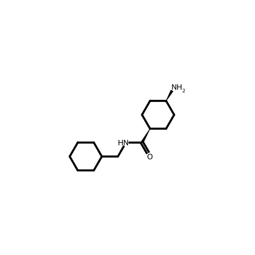 N[C@H]1CC[C@@H](C(=O)NCC2CCCCC2)CC1